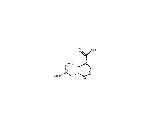 CC(=O)N1CCN[C@H](CC(=O)O)[C@@H]1C